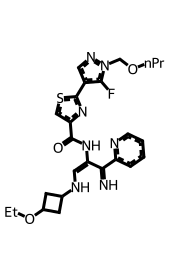 CCCOCn1ncc(-c2nc(C(=O)N/C(=C/NC3CC(OCC)C3)C(=N)c3ccccn3)cs2)c1F